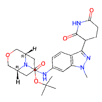 Cn1nc(C2CCC(=O)NC2=O)c2ccc(NC3C[C@H]4COC[C@@H](C3)N4C(=O)OC(C)(C)C)cc21